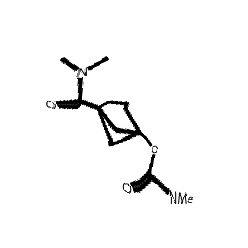 CNC(=O)OC12CC(C(=O)N(C)C)(C1)C2